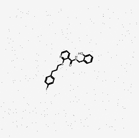 O=C(NCc1ccccc1O)c1cccnc1SCCCc1ccc(F)cc1